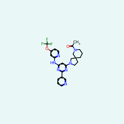 CC(=O)N1CCCC2(CCN(c3cc(Nc4cc(OC(F)(F)F)ccn4)nc(-c4cccnc4)n3)C2)C1